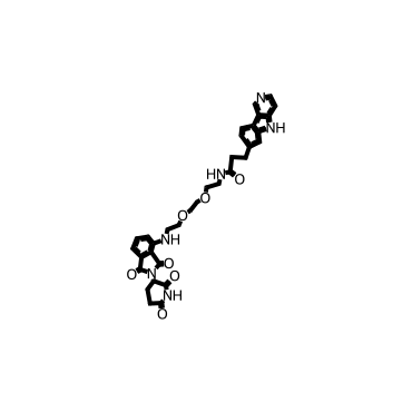 O=C(CCc1ccc2c(c1)[nH]c1ccncc12)NCCOCCOCCNc1cccc2c1C(=O)N(C1CCC(=O)NC1=O)C2=O